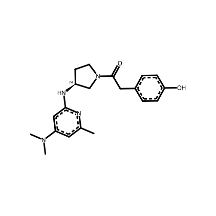 Cc1cc(N(C)C)cc(N[C@H]2CCN(C(=O)Cc3ccc(O)cc3)C2)n1